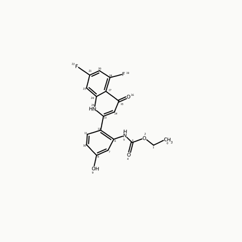 CCOC(=O)Nc1cc(O)ccc1-c1cc(=O)c2c(F)cc(F)cc2[nH]1